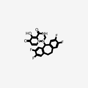 O=C1NCN(C2c3cc(F)c(F)cc3CCc3cc(F)c(F)cc32)n2ccc(=O)c(O)c21